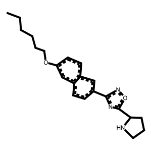 CCCCCCOc1ccc2cc(-c3noc(C4CCCN4)n3)ccc2c1